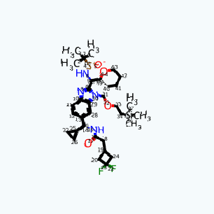 CC(C)(C)[S@@+]([O-])N[C@H](c1nc2ccc([C@H](NC(=O)CC3CC(F)(F)C3)C3CC3)cc2n1COCC[Si](C)(C)C)[C@H]1CCCCO1